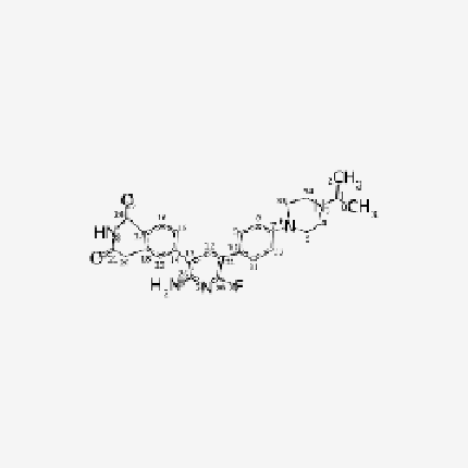 CC(C)N1CCN(c2ccc(-c3cc(-c4ccc5c(c4)CC(=O)NC5=O)c(N)nc3F)cc2)CC1